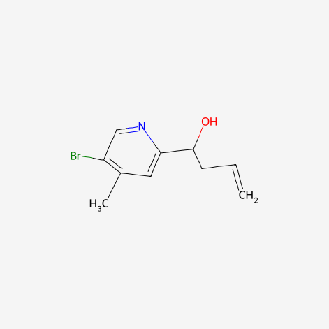 C=CCC(O)c1cc(C)c(Br)cn1